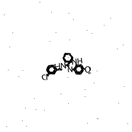 COc1ccc2c(c1)NC1(CCCCC1)C(NCc1cccc(Cl)c1)=N2